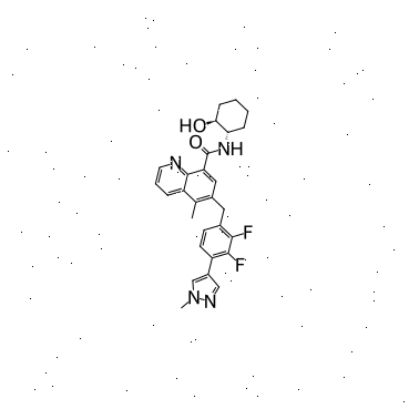 Cc1c(Cc2ccc(-c3cnn(C)c3)c(F)c2F)cc(C(=O)N[C@H]2CCCC[C@@H]2O)c2ncccc12